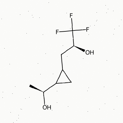 C[C@H](O)C1CC1C[C@H](O)C(F)(F)F